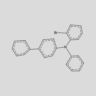 Brc1ccccc1N(c1ccccc1)c1ccc(-c2ccccc2)cc1